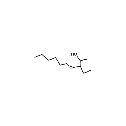 CCCCCCOC(CC)C(C)O